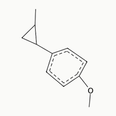 COc1ccc(C2CC2C)cc1